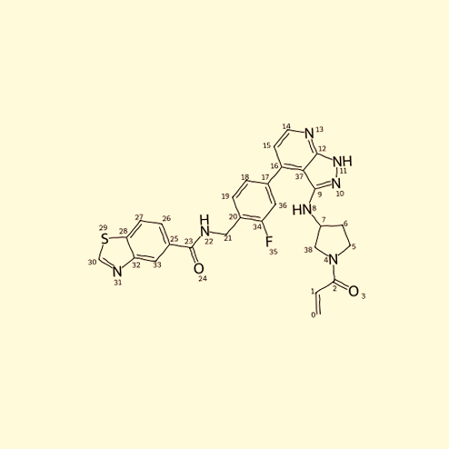 C=CC(=O)N1CCC(Nc2n[nH]c3nccc(-c4ccc(CNC(=O)c5ccc6scnc6c5)c(F)c4)c23)C1